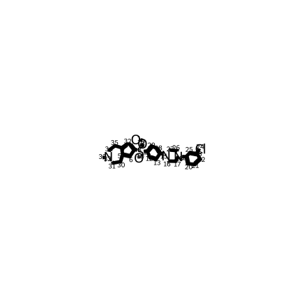 COc1cc2c(cc1S(=O)(=O)c1ccc(N3CCN(c4cccc(Cl)c4)CC3)cc1)CCN(C)CC2